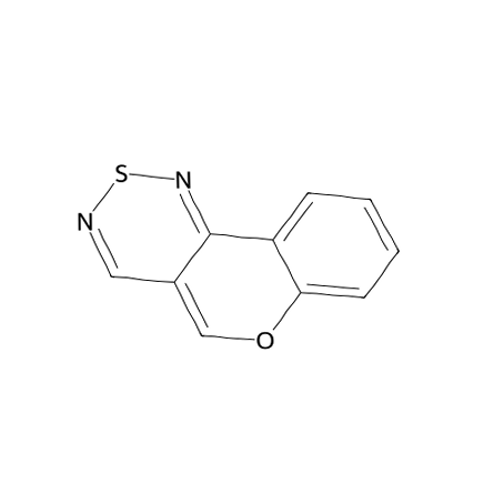 C1=NSN=C2C1=COc1ccccc12